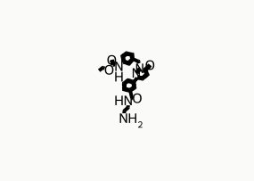 CCOC(=O)Nc1cccc(Cn2nc(-c3cccc(C(=O)NCCN)c3)ccc2=O)c1